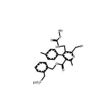 CCOC(=O)Cc1ccccc1COC(=O)c1c(C)nc(CC(C)C)c(CNC(=O)OC(C)(C)C)c1-c1ccc(C)cc1